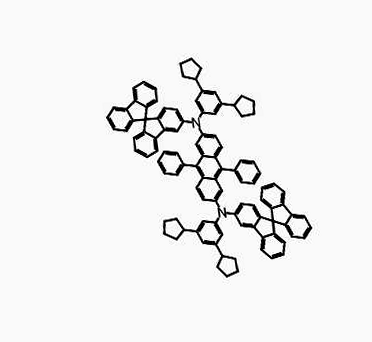 c1ccc(-c2c3ccc(N(c4cc(C5CCCC5)cc(C5CCCC5)c4)c4ccc5c(c4)-c4ccccc4C54c5ccccc5-c5ccccc54)cc3c(-c3ccccc3)c3ccc(N(c4cc(C5CCCC5)cc(C5CCCC5)c4)c4ccc5c(c4)-c4ccccc4C54c5ccccc5-c5ccccc54)cc23)cc1